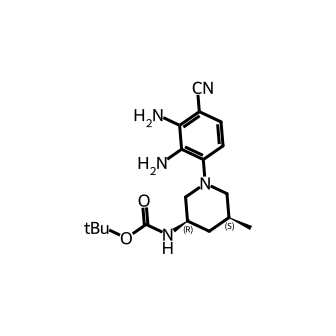 C[C@H]1C[C@@H](NC(=O)OC(C)(C)C)CN(c2ccc(C#N)c(N)c2N)C1